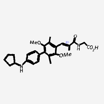 COc1c(C)c(-c2ccc(NC3CCCC3)cc2)c(OC)c(C)c1/C=C(\C)C(=O)NCC(=O)O